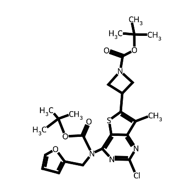 Cc1c(C2CN(C(=O)OC(C)(C)C)C2)sc2c(N(Cc3ccco3)C(=O)OC(C)(C)C)nc(Cl)nc12